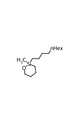 CCCCCCCCCC[Si]1(C)CCCCO1